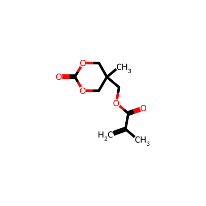 C=C(C)C(=O)OCC1(C)COC(=O)OC1